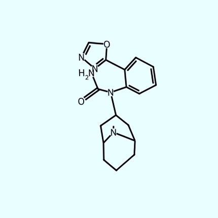 CN1C2CCCC1CC(N(C(N)=O)c1ccccc1-c1nnco1)C2